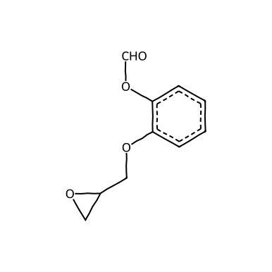 O=COc1ccccc1OCC1CO1